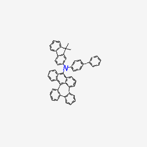 CC1(C)c2ccccc2-c2ccc(N(c3ccc(-c4ccccc4)cc3)c3c4ccccc4c4c5c(cccc35)-c3ccccc3-c3ccccc3-4)cc21